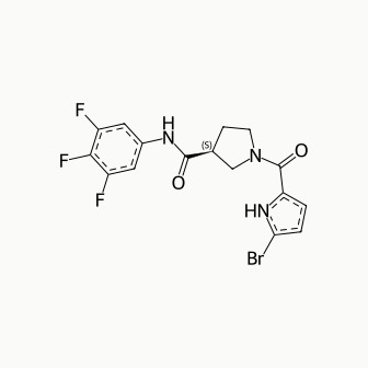 O=C(Nc1cc(F)c(F)c(F)c1)[C@H]1CCN(C(=O)c2ccc(Br)[nH]2)C1